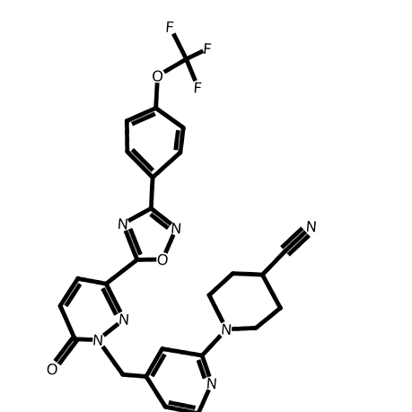 N#CC1CCN(c2cc(Cn3nc(-c4nc(-c5ccc(OC(F)(F)F)cc5)no4)ccc3=O)ccn2)CC1